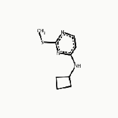 CSc1nccc(NC2CCC2)n1